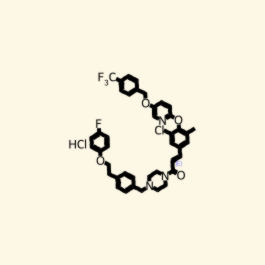 Cc1cc(/C=C/C(=O)N2CCN(Cc3ccc(CCOc4ccc(F)cc4)cc3)CC2)cc(Cl)c1Oc1ccc(OCc2ccc(C(F)(F)F)cc2)cn1.Cl